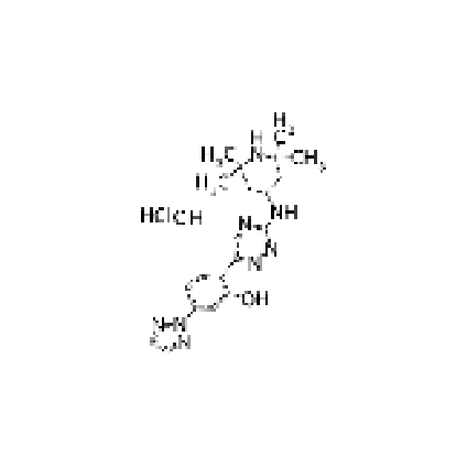 CC1(C)CC(Nc2ncc(-c3ccc(-n4nccn4)cc3O)nn2)CC(C)(C)N1.Cl.Cl